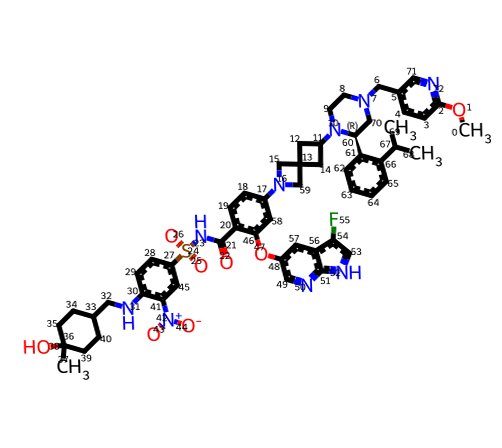 COc1ccc(CN2CCN(C3CC4(C3)CN(c3ccc(C(=O)NS(=O)(=O)c5ccc(NCC6CCC(C)(O)CC6)c([N+](=O)[O-])c5)c(Oc5cnc6[nH]cc(F)c6c5)c3)C4)[C@H](c3ccccc3C(C)C)C2)cn1